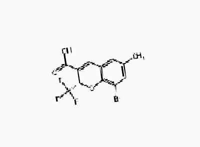 Cc1cc(Br)c2c(c1)C=C(C(=O)O)[C@@H](C(F)(F)F)O2